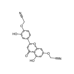 N#CCOc1cc(O)c2c(=O)cc(-c3ccc(OCC#N)c(O)c3)oc2c1